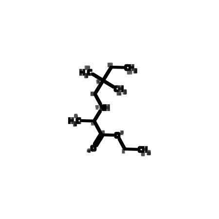 CCOC(=O)C(C)NCC(C)(C)CC